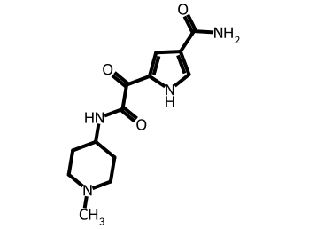 CN1CCC(NC(=O)C(=O)c2cc(C(N)=O)c[nH]2)CC1